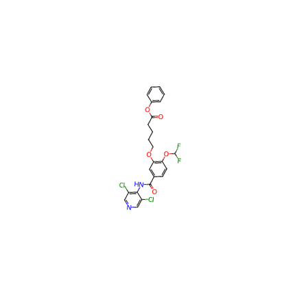 O=C(CCCCOc1cc(C(=O)Nc2c(Cl)cncc2Cl)ccc1OC(F)F)Oc1ccccc1